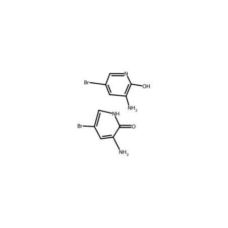 Nc1cc(Br)c[nH]c1=O.Nc1cc(Br)cnc1O